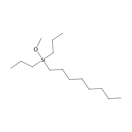 CCCCCCCC[Si](CCC)(CCC)OC